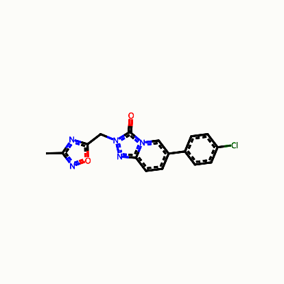 Cc1noc(Cn2nc3ccc(-c4ccc(Cl)cc4)cn3c2=O)n1